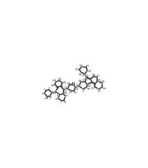 c1ccc(-c2c3ccccc3c(-c3ccc(-c4ccc5c6c7ccccc7ccc6n(-c6ccccc6)c5c4)nc3)c3ccccc23)cc1